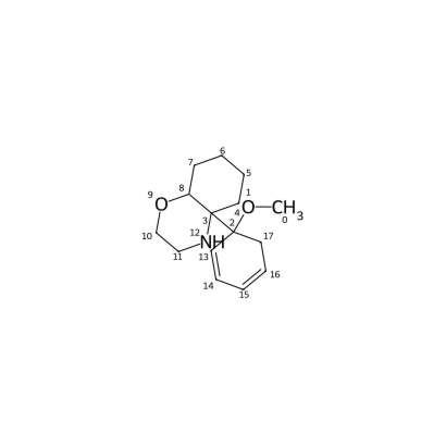 COC1(C23CCCCC2OCCN3)C=CC=CC1